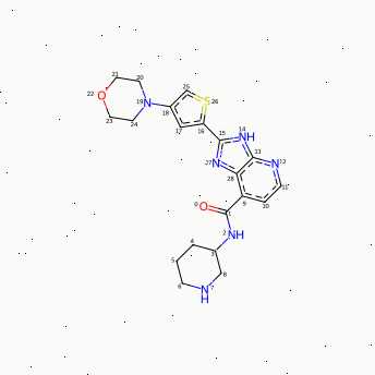 O=C(NC1CCCNC1)c1ccnc2[nH]c(-c3cc(N4CCOCC4)cs3)nc12